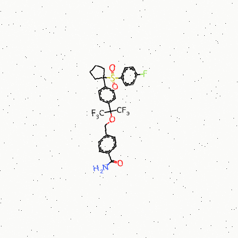 NC(=O)c1ccc(COC(c2ccc(C3(S(=O)(=O)c4ccc(F)cc4)CCCC3)cc2)(C(F)(F)F)C(F)(F)F)cc1